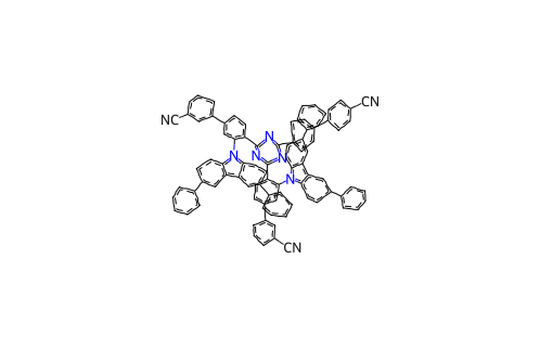 N#Cc1ccc(-c2ccc(-c3nc(-c4ccc(-c5cccc(C#N)c5)cc4-n4c5ccc(-c6ccccc6)cc5c5cc(-c6ccccc6)ccc54)nc(-c4ccc(-c5cccc(C#N)c5)cc4-n4c5ccc(-c6ccccc6)cc5c5cc(-c6ccccc6)ccc54)n3)cc2)cc1